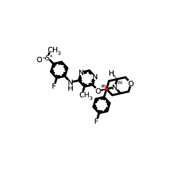 Cc1c(Nc2ccc([S+](C)[O-])cc2F)ncnc1O[C@@H]1CC2COC[C@H](C1)N2Cc1ccc(F)cc1